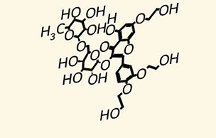 CC1O[C@H](OCC2O[C@H](Oc3c(-c4ccc(OCCO)c(OCCO)c4)oc4cc(OCCO)cc(O)c4c3=O)[C@H](O)C(O)[C@H]2O)[C@H](O)C(O)[C@@H]1O